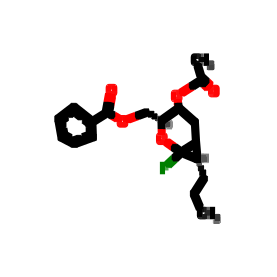 CCC[C@H]1C2CC(OC(C)=O)[C@@H](COC(=O)c3ccccc3)OC21F